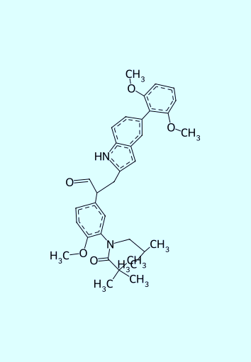 COc1ccc(C(C=O)Cc2cc3cc(-c4c(OC)cccc4OC)ccc3[nH]2)cc1N(CC(C)C)C(=O)C(C)(C)C